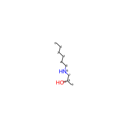 CCCCCCNCC(C)O